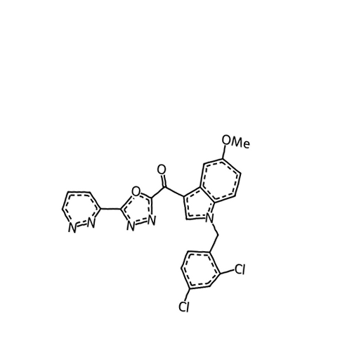 COc1ccc2c(c1)c(C(=O)c1nnc(-c3cccnn3)o1)cn2Cc1ccc(Cl)cc1Cl